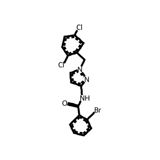 O=C(Nc1ccn(Cc2cc(Cl)ccc2Cl)n1)c1ccccc1Br